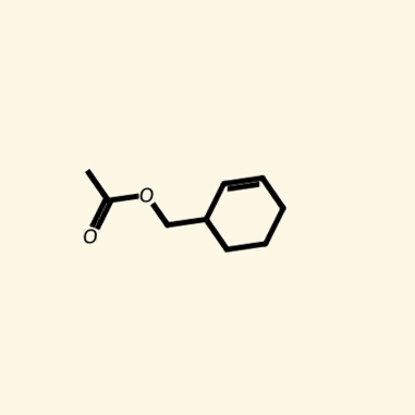 CC(=O)OCC1C=CCCC1